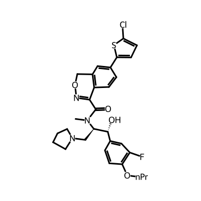 CCCOc1ccc([C@@H](O)[C@@H](CN2CCCC2)N(C)C(=O)C2=NOCc3cc(-c4ccc(Cl)s4)ccc32)cc1F